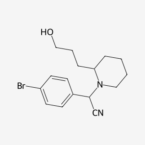 N#CC(c1ccc(Br)cc1)N1CCCCC1CCCO